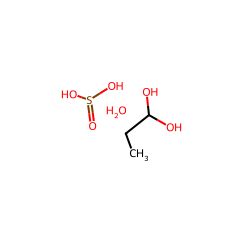 CCC(O)O.O.O=S(O)O